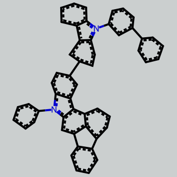 c1ccc(-c2cccc(-n3c4ccccc4c4cc(-c5ccc6c(c5)c5c7cccc8c7c(cc5n6-c5ccccc5)-c5ccccc5-8)ccc43)c2)cc1